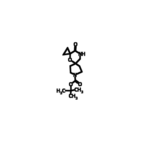 CC(C)(C)OC(=O)N1CCC2(CC1)CNC(=O)C1(CC1)O2